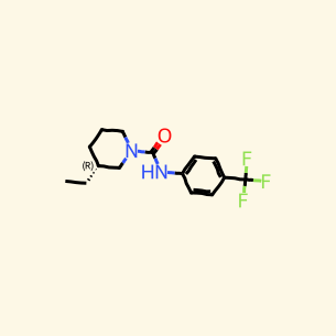 CC[C@@H]1CCCN(C(=O)Nc2ccc(C(F)(F)F)cc2)C1